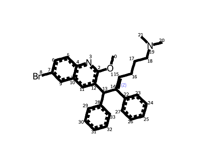 COc1nc2ccc(Br)cc2cc1C(/C(=C/CCCN(C)C)c1ccccc1)c1ccccc1